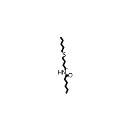 CCCCCSCCC[CH]NC(=O)CCCCC